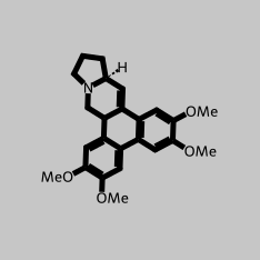 COc1cc2c(cc1OC)-c1cc(OC)c(OC)cc1C1CN3CCC[C@H]3C=C21